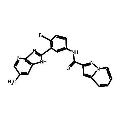 Cc1cnc2nc(-c3cc(NC(=O)c4cc5ccccn5n4)ccc3F)[nH]c2c1